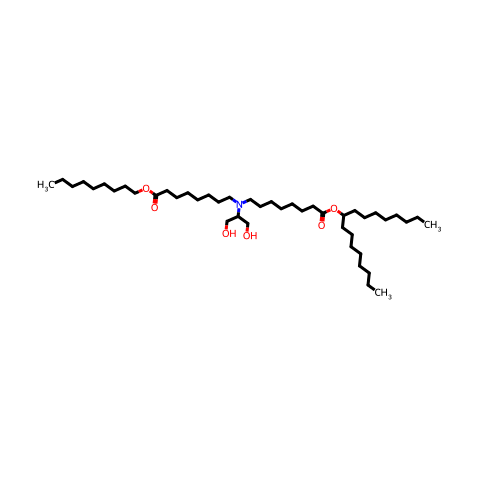 CCCCCCCCCOC(=O)CCCCCCCN(CCCCCCCC(=O)OC(CCCCCCCC)CCCCCCCC)C(CO)CO